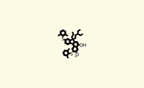 CCCC1(CCC(CC)CC)c2cc(Sc3c(C)cccc3C)ccc2-c2c1cc(O)c1cc(OC)c(Sc3c(C)cccc3C)cc21